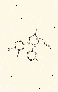 C=CC[C@@]1(C)C[C@H](c2cccc(Cl)c2)[C@H](c2ccc(Cl)c(F)c2)OC1=O